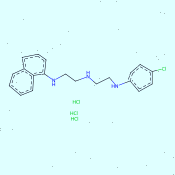 Cl.Cl.Cl.Clc1ccc(NCCNCCNc2cccc3ccccc23)cc1